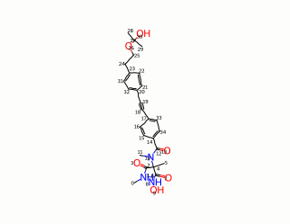 CNC(=O)C(C)(C(=O)NO)N(C)C(=O)c1ccc(C#Cc2ccc(CCOC(C)(C)O)cc2)cc1